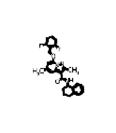 Cc1cc(OCc2c(F)cccc2F)n2nc(C)c(C(=O)NC3CCCc4ccccc43)c2c1